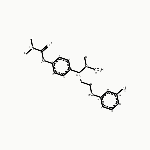 CN(C)C(=O)Oc1ccc([C@@H](CCOc2cccc(Cl)c2)N(C)C(=O)O)cc1